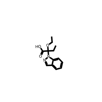 CCOC(CC)(C(=O)O)n1ncc2ccccc21